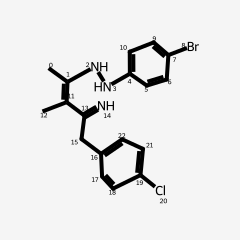 CC(NNc1ccc(Br)cc1)=C(C)C(=N)Cc1ccc(Cl)cc1